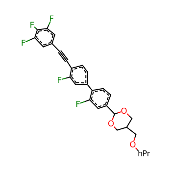 CCCOCC1COC(c2ccc(-c3ccc(C#Cc4cc(F)c(F)c(F)c4)c(F)c3)c(F)c2)OC1